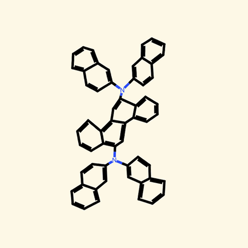 c1ccc2cc(N(c3ccc4ccccc4c3)c3cc4c5ccccc5c(N(c5ccc6ccccc6c5)c5ccc6ccccc6c5)cc4c4ccccc34)ccc2c1